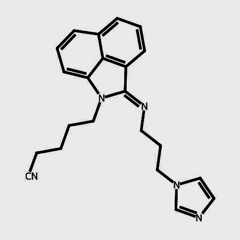 N#CCCCCN1C(=NCCCn2ccnc2)c2cccc3cccc1c23